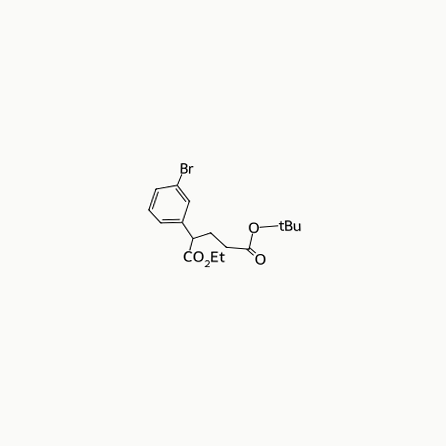 CCOC(=O)C(CCC(=O)OC(C)(C)C)c1cccc(Br)c1